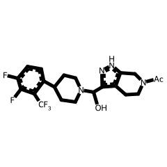 CC(=O)N1CCc2c(C(O)N3CCC(c4ccc(F)c(F)c4C(F)(F)F)CC3)n[nH]c2C1